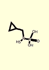 O=P(O)(O)N(S)CC1CC1